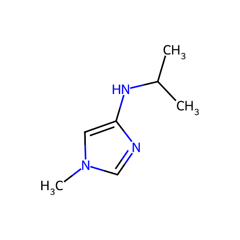 CC(C)Nc1cn(C)cn1